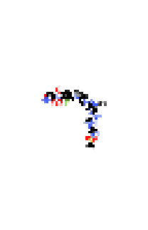 CC(C)n1nc(N2CCC(N(C)Cc3ccc4c(c3F)C(=O)N(C3CCC(=O)NC3=O)C4=O)CC2)c2cnc(Nc3ccnc(-c4cnn(S(=O)(=O)C5CC5)c4)n3)cc21